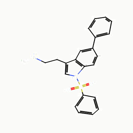 Cl.NCCc1cn(S(=O)(=O)c2ccccc2)c2ccc(-c3ccccc3)cc12